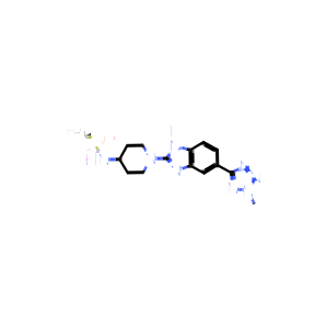 Cn1nnc(-c2ccc3[nH]c(N4CCC(NS(=O)(=O)C(C)(C)C)CC4)nc3c2)n1